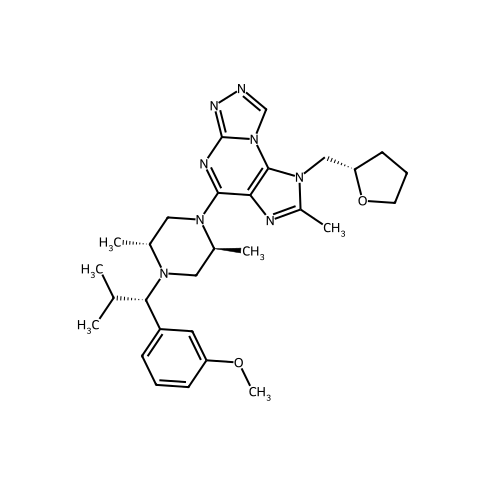 COc1cccc([C@H](C(C)C)N2C[C@H](C)N(c3nc4nncn4c4c3nc(C)n4C[C@@H]3CCCO3)C[C@H]2C)c1